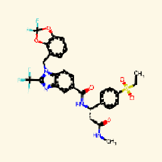 CCS(=O)(=O)c1ccc([C@H](CC(=O)NC)NC(=O)c2ccc3c(c2)nc(C(F)(F)F)n3Cc2cccc3c2OC(F)(F)O3)cc1